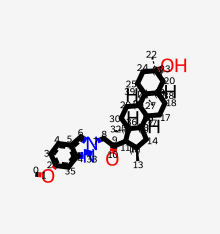 COc1ccc2cn(CC(=O)C3[C@H](C)C[C@H]4[C@@H]5CC[C@H]6C[C@](C)(O)CC[C@]6(C)[C@H]5CC[C@]34C)nc2c1